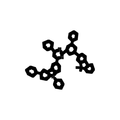 CC1(C)c2ccccc2-c2ccc(-c3cc(-c4ccccc4)cc(-c4nc(-c5ccccc5)cc(-c5ccc6c(c5)c5cc(-c7ccccc7)ccc5n6-c5ccccc5)n4)c3)cc21